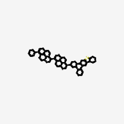 c1ccc(-c2ccc3ccc4c(-c5ccc6ccc7c(-c8ccc9c(c8)c8ccccc8c8cc%10c(cc98)sc8ccccc8%10)ccc8ccc5c6c87)ccc5ccc2c3c54)cc1